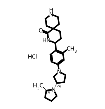 Cc1cc(N2CC[C@H](N3CCC[C@@H]3C)C2)ccc1C1CCC2(CCNCC2)C(=O)N1.Cl